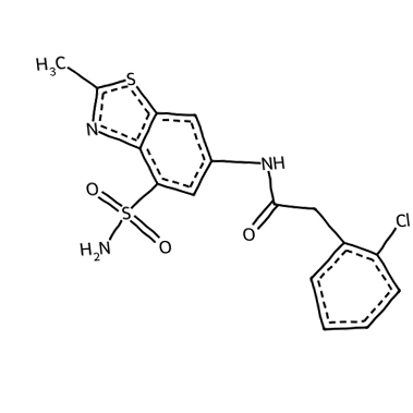 Cc1nc2c(S(N)(=O)=O)cc(NC(=O)Cc3ccccc3Cl)cc2s1